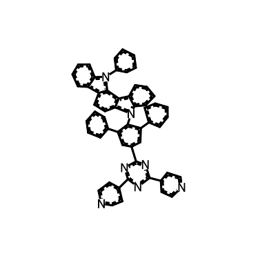 c1ccc(-c2cc(-c3nc(-c4ccncc4)nc(-c4ccncc4)n3)cc(-c3ccccc3)c2-n2c3ccccc3c3c2ccc2c4ccccc4n(-c4ccccc4)c23)cc1